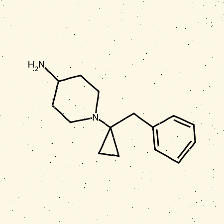 NC1CCN(C2(Cc3ccccc3)CC2)CC1